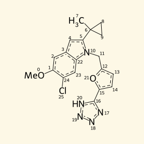 COc1cc2cc(C3(C)CC3)n(Cc3ccc(-c4nnn[nH]4)o3)c2cc1Cl